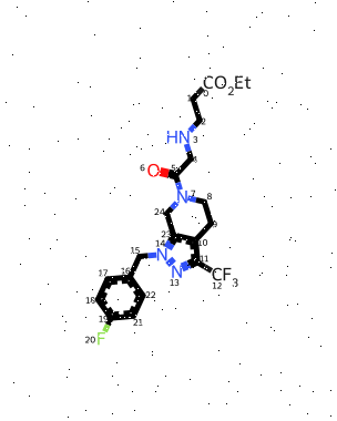 CCOC(=O)CCNCC(=O)N1CCc2c(C(F)(F)F)nn(Cc3ccc(F)cc3)c2C1